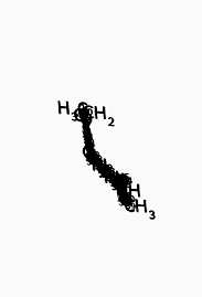 C=C(C)C(=O)OCCCCCCCCCCOc1ccc(/N=N/c2ccc(/N=N/c3ccc(NCc4ccc(C)cc4)c4ccccc34)cc2)cc1